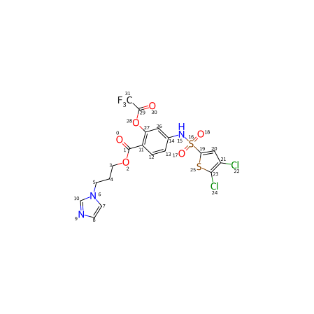 O=C(OCCCn1ccnc1)c1ccc(NS(=O)(=O)c2cc(Cl)c(Cl)s2)cc1OC(=O)C(F)(F)F